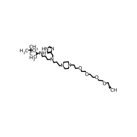 C#CCOCCOCCOCCOCCN1CCN(CCCN(CCCNC(=O)OC(C)(C)C)Cc2c[nH]cn2)CC1